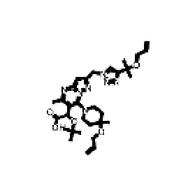 C=CCOC1(C)CCN(c2c(C(OC(C)(C)C)C(=O)O)c(C)nc3cc(Cn4cc(C(C)(C)OCC=C)nn4)nn23)CC1